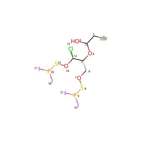 OC(CBr)O[C@H](COSP(I)I)[C@H](Cl)OSP(I)I